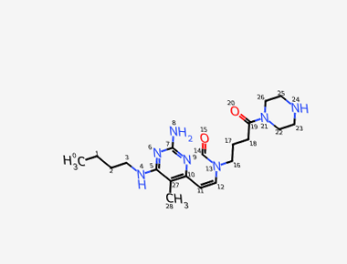 CCCCNc1nc(N)nc(/C=C\N(C=O)CCCC(=O)N2CCNCC2)c1C